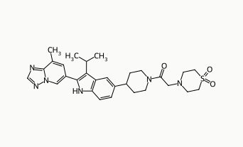 Cc1cc(-c2[nH]c3ccc(C4CCN(C(=O)CN5CCS(=O)(=O)CC5)CC4)cc3c2C(C)C)cn2ncnc12